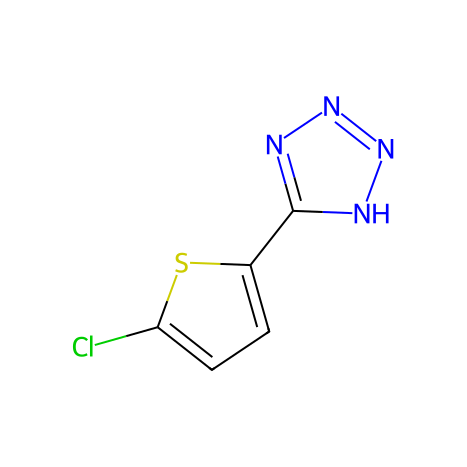 Clc1ccc(-c2nnn[nH]2)s1